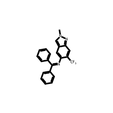 Cn1cc2cc(N=C(c3ccccc3)c3ccccc3)c(C(F)(F)F)cc2n1